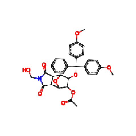 COc1ccc(C(OC2C(OC(C)=O)C3OC2C2C(=O)N(CO)C(=O)C32)(c2ccccc2)c2ccc(OC)cc2)cc1